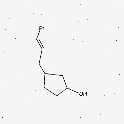 CCC=CCC1CCC(O)C1